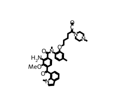 COc1c(C(=O)c2cccc3ccn(C)c23)ccc(C(=O)N(C)c2ccc(C)cc2OCCCCC(=C=O)N2CCN(C)CC2)c1N